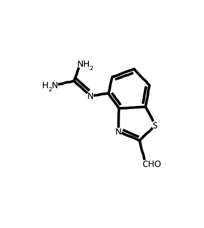 NC(N)=Nc1cccc2sc(C=O)nc12